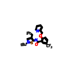 CC(C)Cc1cn(C(C)(C)C)s/c1=N\C(=O)c1cc(C(F)(F)F)ccc1OCc1ccccn1